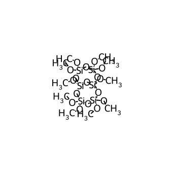 CO[Si]1(OC)O[Si](OC)(OC)O[Si]2(OC)O[Si](OC)(OC)O[Si](OC)(OC)O[Si](OC)(O1)O2